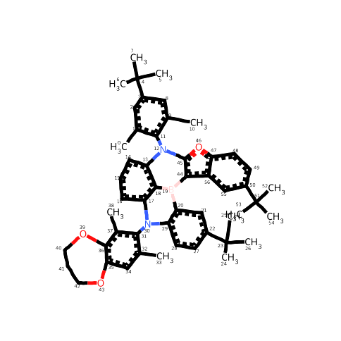 Cc1cc(C(C)(C)C)cc(C)c1N1c2cccc3c2B(c2cc(C(C)(C)C)ccc2N3c2c(C)cc3c(c2C)OCCCO3)c2c1oc1ccc(C(C)(C)C)cc21